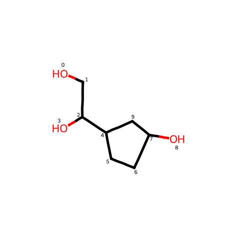 OCC(O)C1CCC(O)C1